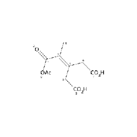 CC(=O)OC(=O)C(C)=C(CC(=O)O)CC(=O)O